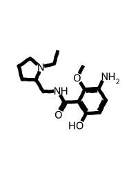 CCN1CCCC1CNC(=O)c1c(O)ccc(N)c1OC